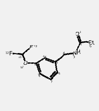 CCC(=O)NCc1cccc(OC(F)F)c1